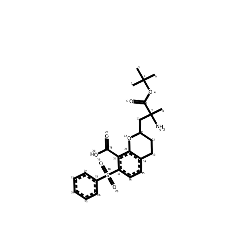 CC(C)(C)OC(=O)C(C)(N)CC1CCc2ccc(S(=O)(=O)c3ccccc3)c(C(=O)O)c2O1